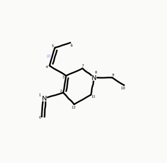 C=NC1=C(/C=C\C)CN(CC)CC1